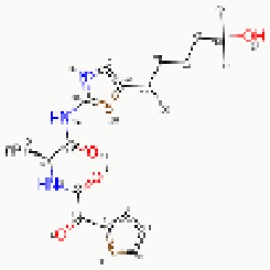 CCC[C@H](NC(=O)C(=O)c1cccs1)C(=O)Nc1ncc(C(C)CCCC(C)(C)O)s1